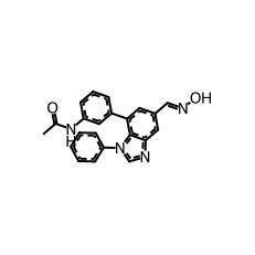 CC(=O)Nc1cccc(-c2cc(C=NO)cc3ncn(-c4ccccc4)c23)c1